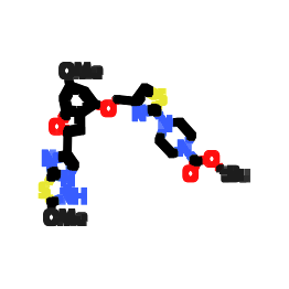 COc1cc(OCc2csc(N3CCN(C(=O)OC(C)(C)C)CC3)n2)c2cc(-c3cn4c(n3)SC(OC)N4)oc2c1